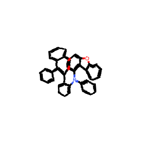 c1ccc(-c2c(-c3ccccc3N(c3ccccc3)c3cccc4oc5ccccc5c34)ccc3ccccc23)cc1